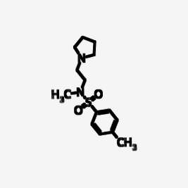 Cc1ccc(S(=O)(=O)N(C)CCN2CCCC2)cc1